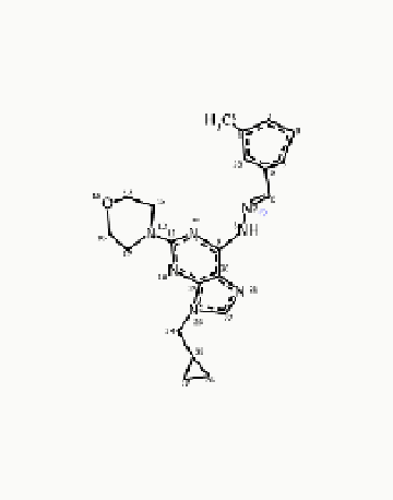 Cc1cccc(/C=N/Nc2nc(N3CCOCC3)nc3c2ncn3CC2CC2)c1